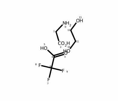 NCC(=O)O.O=C(O)C(F)(F)F.OCCO